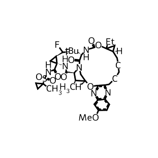 CCC12C[C@H]1CCCCCc1nc3ccc(OC)cc3nc1O[C@H]1CN(C(=O)[C@H](C(C)(C)C)NC(=O)O2)[C@H](C(=O)N[C@]2(C(=O)NS(=O)(=O)C3(C)CC3)C[C@H]2C(F)F)[C@@H]1C